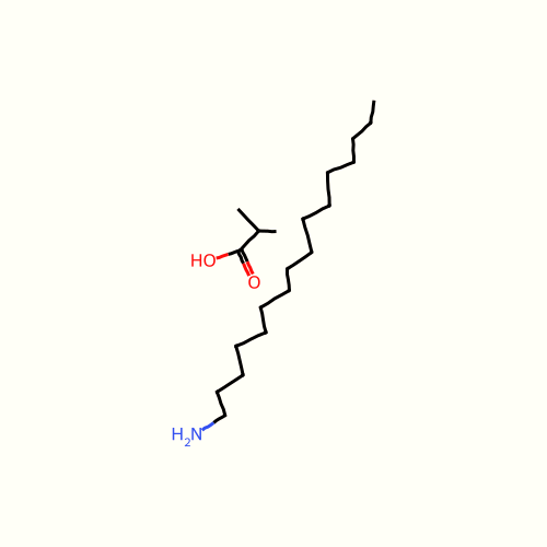 CC(C)C(=O)O.CCCCCCCCCCCCCCCCN